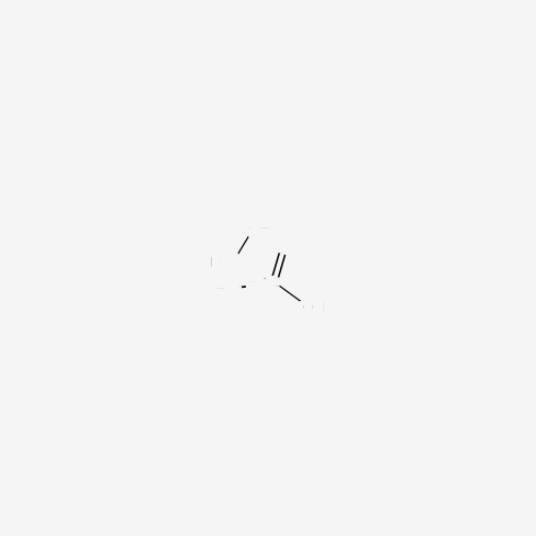 CC.O=[AsH](O)O